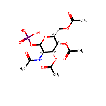 CC(=O)N[C@H]1C(OP(=O)(O)O)O[C@H](COC(C)=O)[C@@H](OC(C)=O)[C@@H]1OC(C)=O